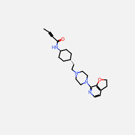 CC#CC(=O)N[C@H]1CC[C@H](CCN2CCN(c3nccc4c3OCC4)CC2)CC1